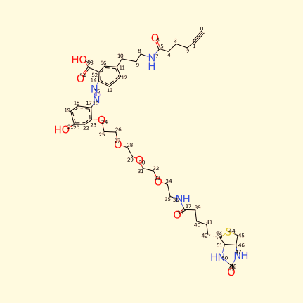 C#CCCCC(=O)NCCCc1ccc(/N=N/c2ccc(O)cc2OCCOCCOCCOCCNC(=O)CCCC[C@@H]2SCC3NC(=O)NC32)c(C(=O)O)c1